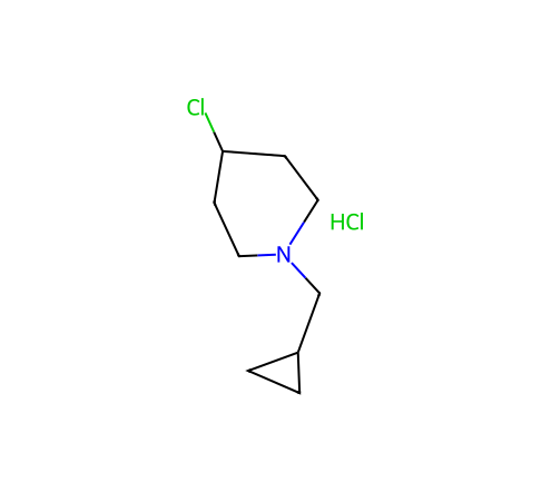 Cl.ClC1CCN(CC2CC2)CC1